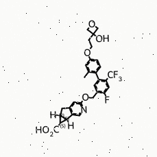 Cc1cc(OCCC2(O)COC2)ccc1-c1cc(COc2cc3c(cn2)[C@H]2[C@@H](C3)[C@@H]2C(=O)O)c(F)cc1C(F)(F)F